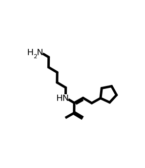 C=C(C)/C(=C\CC1CCCC1)NCCCCCN